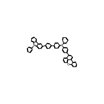 c1ccc(N(c2ccc(-c3ccc(-c4ccc5c(c4)c4ccccc4n5-c4ccccc4)cc3)cc2)c2ccc(-c3ccc4c5c(cccc35)Oc3ccccc3-4)cc2)cc1